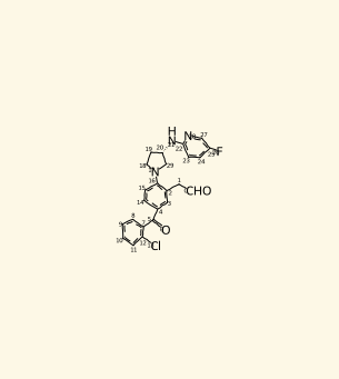 O=CCc1cc(C(=O)c2ccccc2Cl)ccc1N1CC[C@H](Nc2ccc(F)cn2)C1